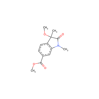 COC(=O)c1ccc2c(c1)N(C)C(=O)C2(C)OC